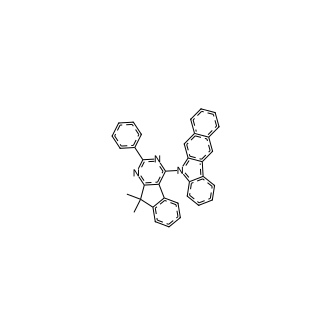 CC1(C)c2ccccc2-c2c(-n3c4ccccc4c4cc5ccccc5cc43)nc(-c3ccccc3)nc21